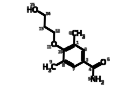 Cc1cc(C(N)=O)cc(C)c1OCCCO